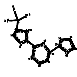 FC(F)(F)c1csc(-c2n[c]cc(-c3ccco3)n2)n1